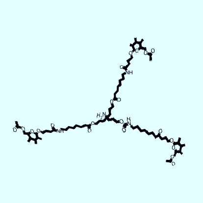 CC(=O)OCC1OC(OCCCC(=O)CCCCCCCNC(=O)OCCCC(N)(CCCOC(=O)CCCCCCCNC(=O)CCCOC2OC(COC(C)=O)C(C)C(C)C2C)CCCOC(=O)CCCCCCCNC(=O)CCCOC2OC(COC(C)=O)C(C)C(C)C2C)C(C)C(C)C1C